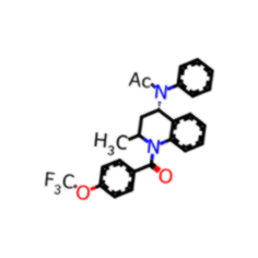 CC(=O)N(c1ccccc1)[C@H]1CC(C)N(C(=O)c2ccc(OC(F)(F)F)cc2)c2ccccc21